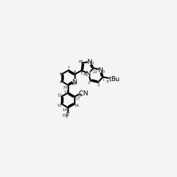 CC(C)(C)c1ccn2c(-c3cccc(-c4ccc(F)cc4C#N)n3)cnc2n1